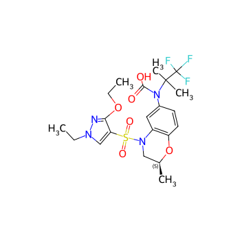 CCOc1nn(CC)cc1S(=O)(=O)N1C[C@H](C)Oc2ccc(N(C(=O)O)C(C)(C)C(F)(F)F)cc21